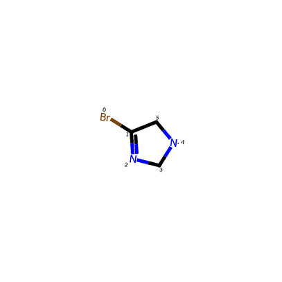 BrC1=NC[N]C1